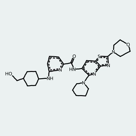 O=C(Nc1cc2sc(N3CCOCC3)nc2nc1N1CCCCC1)c1cccc(NC2CCC(CO)CC2)n1